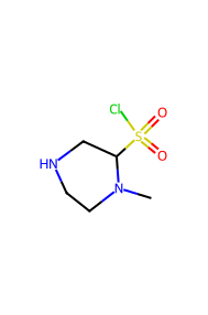 CN1CCNCC1S(=O)(=O)Cl